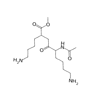 COC(=O)C(CCCCN)CC(=O)C(CCCCN)NC(C)=O